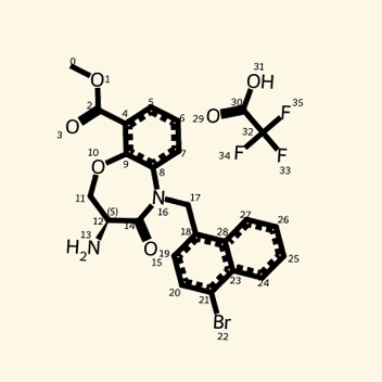 COC(=O)c1cccc2c1OC[C@H](N)C(=O)N2Cc1ccc(Br)c2ccccc12.O=C(O)C(F)(F)F